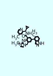 Cc1ccnc(C(NC(=O)c2cc(Cn3ccn(C)c3=N)cc(-c3c(C)ccc4[nH]ncc34)c2)C2CC2)c1